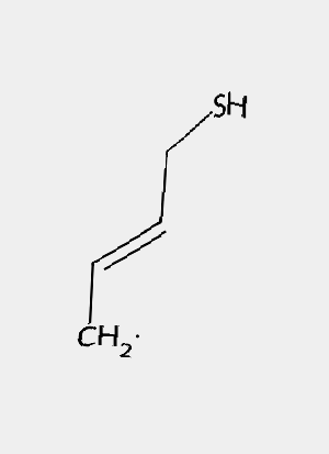 [CH2]C=CCS